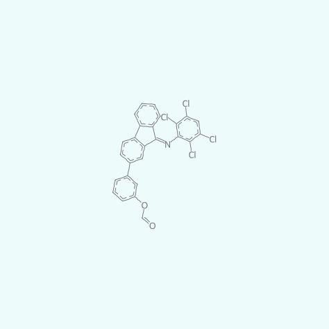 O=COc1cccc(-c2ccc3c(c2)/C(=N/c2c(Cl)c(Cl)cc(Cl)c2Cl)c2ccccc2-3)c1